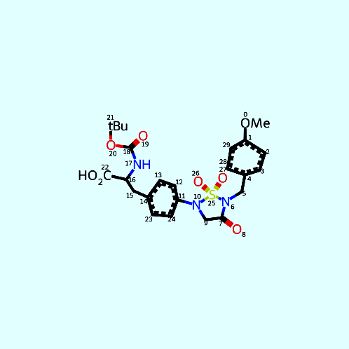 COc1ccc(CN2C(=O)CN(c3ccc(CC(NC(=O)OC(C)(C)C)C(=O)O)cc3)S2(=O)=O)cc1